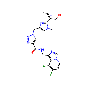 C/C=C(/CO)c1nc(Cn2cc(C(=O)NCc3ncn4ccc(Cl)c(F)c34)nn2)cn1C